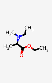 CCOC(=O)C(C)N(C)CC